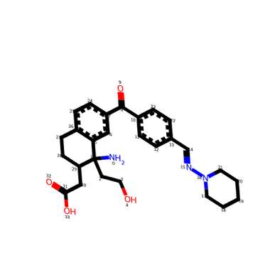 NC1(CCO)c2cc(C(=O)c3ccc(C=NN4CCCCC4)cc3)ccc2CCC1CC(=O)O